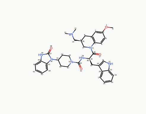 COc1ccc2c(c1)C[C@H](CN(C)C)CN2C(=O)[C@@H](Cc1c[nH]c2ccccc12)NC(=O)N1CCC(n2c(=O)[nH]c3ccccc32)CC1